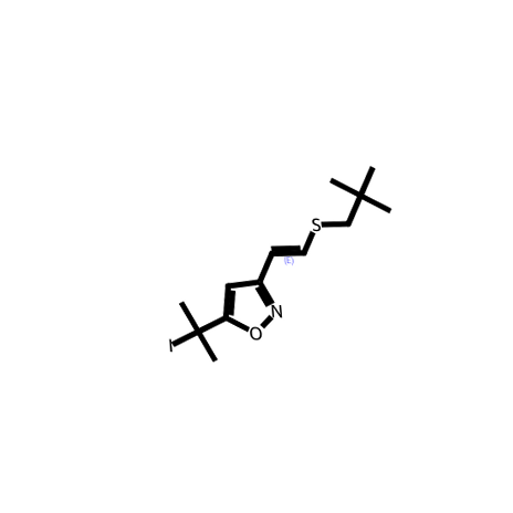 CC(C)(C)CS/C=C/c1cc(C(C)(C)I)on1